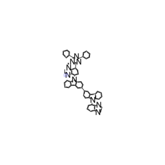 C=Nc1c(-c2nc(-c3ccccc3)nc(-c3ccccc3)n2)ccc(-n2c3ccccc3c3cc(-c4ccc5c(c4)c4ccccc4n5-c4cccc5nccnc45)ccc32)c1/N=C\C